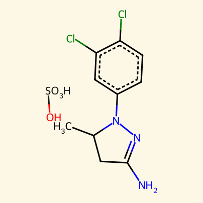 CC1CC(N)=NN1c1ccc(Cl)c(Cl)c1.O=S(=O)(O)O